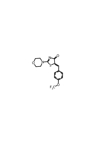 O=C1N=C(N2CCOCC2)SC1=Cc1ccc(OC(F)(F)F)cc1